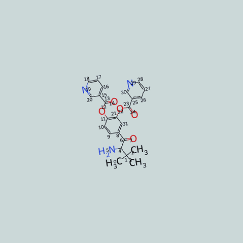 CC(C)(C)C(N)C(=O)c1ccc(OC(=O)c2cccnc2)c(OC(=O)c2cccnc2)c1